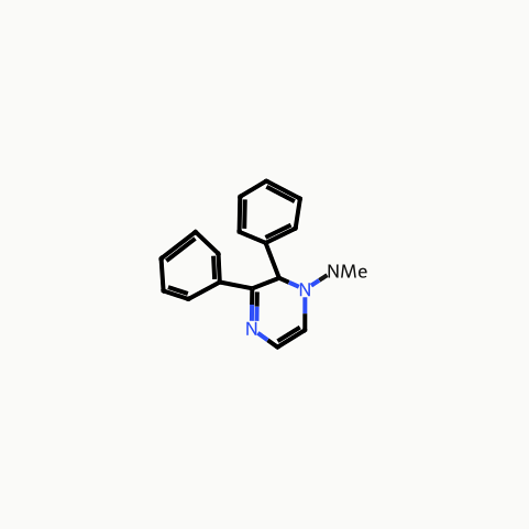 CNN1C=CN=C(c2ccccc2)C1c1ccccc1